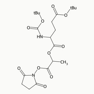 CC(OC(=O)C(CCC(=O)OC(C)(C)C)NC(=O)OC(C)(C)C)C(=O)ON1C(=O)CCC1=O